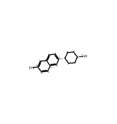 CCC[C@H]1CC[C@H](c2ccc3cc(CC)ccc3c2)CC1